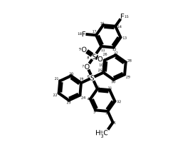 CCc1ccc(S(OS(=O)(=O)c2ccc(F)cc2F)(c2ccccc2)c2ccccc2)cc1